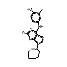 Cc1cc(Nc2nc(F)nc3c2ncn3C2CCCCCO2)ccc1O